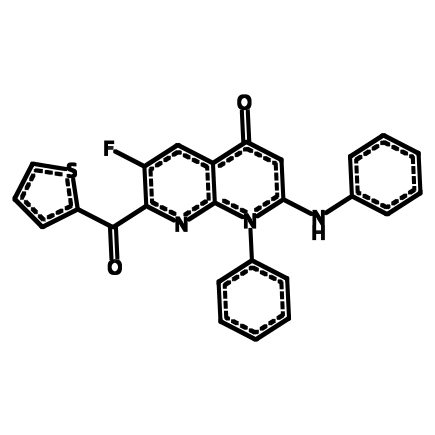 O=C(c1cccs1)c1nc2c(cc1F)c(=O)cc(Nc1ccccc1)n2-c1ccccc1